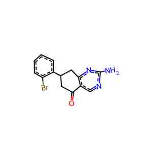 Nc1ncc2c(n1)CC(c1ccccc1Br)CC2=O